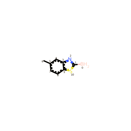 Bc1nc2cc(C)ccc2s1